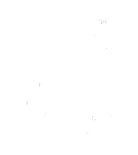 CC(=CC(C)[S+](N)[O-])c1cc([N+](=O)[O-])cc(C(F)(F)F)c1